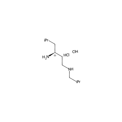 CC(C)CNCC[C@@H](N)CC(C)C.Cl.Cl